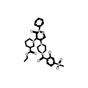 CCOC(=O)C1CCCN(c2c(N3CCN(C(=O)c4ccc(S(C)(=O)=O)cc4Cl)CC3)cnn(-c3ccccc3)c2=O)C1